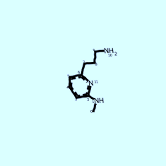 CNc1cccc(CCCN)n1